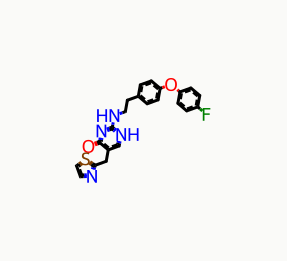 O=c1nc(NCCc2ccc(Oc3ccc(F)cc3)cc2)[nH]cc1Cc1nccs1